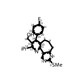 CSc1ncc2c(n1)CCCc1c-2nc(C(C)C)c(CO)c1-c1ccc(F)cc1